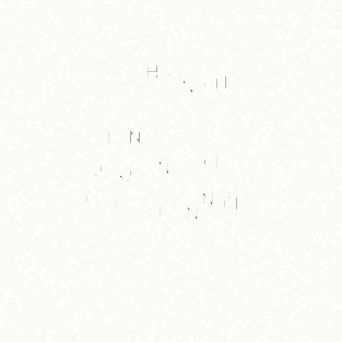 Cc1c(/N=C2\C=CC(=[N+](C)C)C=C2N)c(=O)n(-c2ccccc2)n1C.[O-][Cl+3]([O-])([O-])[O-]